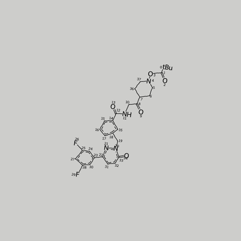 CC(C)(C)C(=O)ON1CCC(C(=O)CNC(=O)c2cccc(Cn3nc(-c4cc(F)cc(F)c4)ccc3=O)c2)CC1